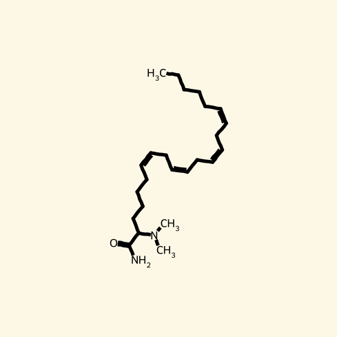 CCCCC/C=C\C/C=C\C/C=C\C/C=C\CCCCC(C(N)=O)N(C)C